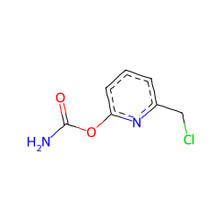 NC(=O)Oc1cccc(CCl)n1